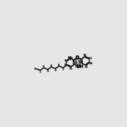 CCCCCCCCc1cnc(Oc2ccccc2)c(O)c1